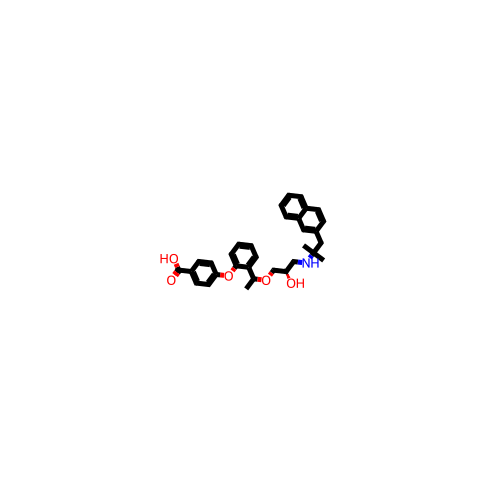 CC(OC[C@H](O)CNC(C)(C)Cc1ccc2ccccc2c1)c1ccccc1Oc1ccc(C(=O)O)cc1